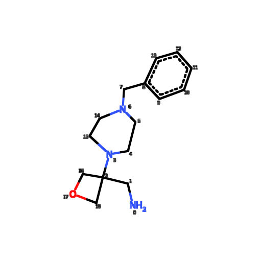 NCC1(N2CCN(Cc3ccccc3)CC2)COC1